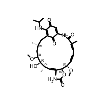 CO[C@H]1C=CC=C(C)C(=O)NC2=CC(=O)C(NC(C)C)=C(C[C@@H](C)C[C@H](OC)[C@H](O)[C@@H](C)C=C(C)[C@@H]1OC(N)=O)C2=O